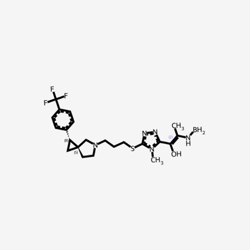 BN/C(C)=C(\O)c1nnc(SCCCN2CC[C@]3(C[C@@H]3c3ccc(C(F)(F)F)cc3)C2)n1C